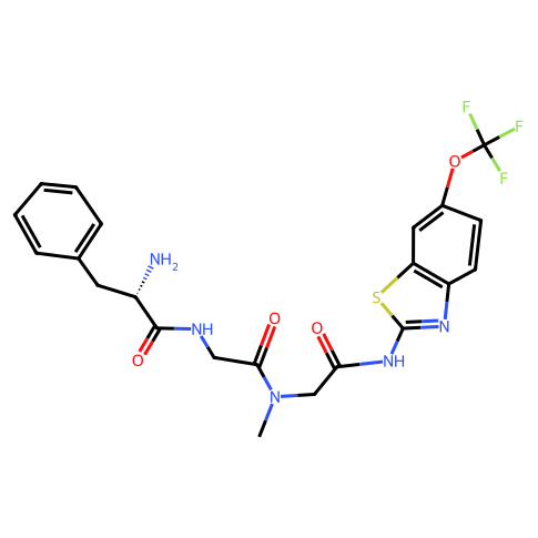 CN(CC(=O)Nc1nc2ccc(OC(F)(F)F)cc2s1)C(=O)CNC(=O)[C@@H](N)Cc1ccccc1